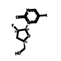 O=c1ncc(I)cn1[C@@H]1O[C@H](CO)C[C@H]1F